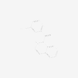 CN1C=Cc2ccccc2C1C(=O)c1cccc(O)c1